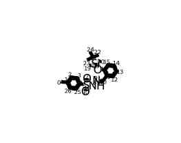 Cc1ccc(S(=O)(=O)NN=Cc2ccccc2O[Si](C)(C)C(C)(C)C)cc1